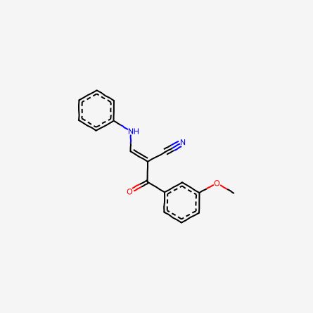 COc1cccc(C(=O)C(C#N)=CNc2ccccc2)c1